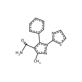 Cc1nn(-c2nccs2)c(-c2ccccc2)c1C(N)=O